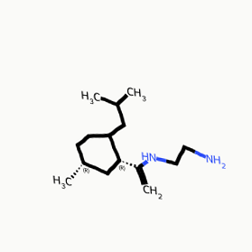 C=C(NCCN)[C@@H]1C[C@H](C)CCC1CC(C)C